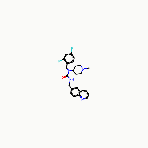 CN1CCC(N(Cc2ccc(F)cc2F)C(=O)NCc2ccc3ncccc3c2)CC1